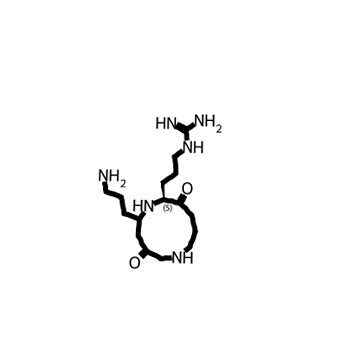 N=C(N)NCCC[C@@H]1NC(CCCN)CC(=O)CNCCCC1=O